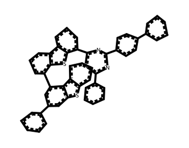 c1ccc(-c2ccc(-c3nc(-c4ccccc4)nc(-c4cccc5c4sc4c(-c6cc(-c7ccccc7)cc7sc8ccccc8c67)cccc45)n3)cc2)cc1